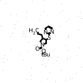 C=CCC1CN(C(=O)OC(C)(C)C)CC1Sc1ncccn1